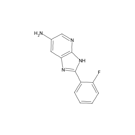 Nc1cnc2[nH]c(-c3ccccc3F)nc2c1